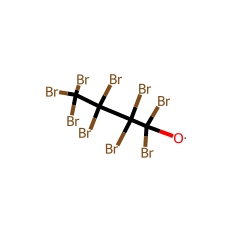 [O]C(Br)(Br)C(Br)(Br)C(Br)(Br)C(Br)(Br)Br